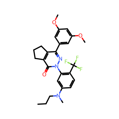 CCCN(C)c1ccc(C(F)(F)F)c(-n2nc(-c3cc(OC)cc(OC)c3)c3c(c2=O)CCC3)c1